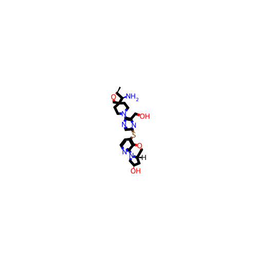 C[C@@H]1OCC2(CCN(c3ncc(Sc4ccnc5c4OC[C@@H]4C[C@H](O)CN54)nc3CO)CC2)[C@@H]1N